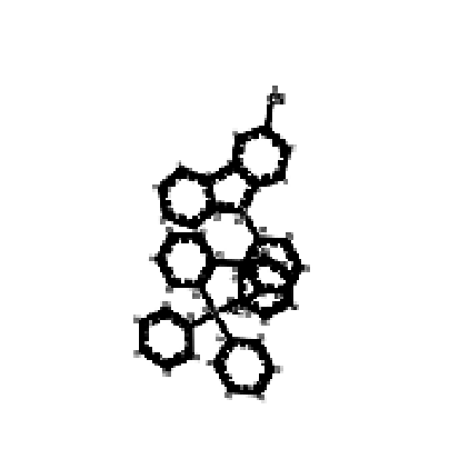 N#Cc1ccc2c(c1)c1ccccc1n2-c1cccc(C#N)c1-c1ccccc1[Si](c1ccccc1)(c1ccccc1)c1ccccc1